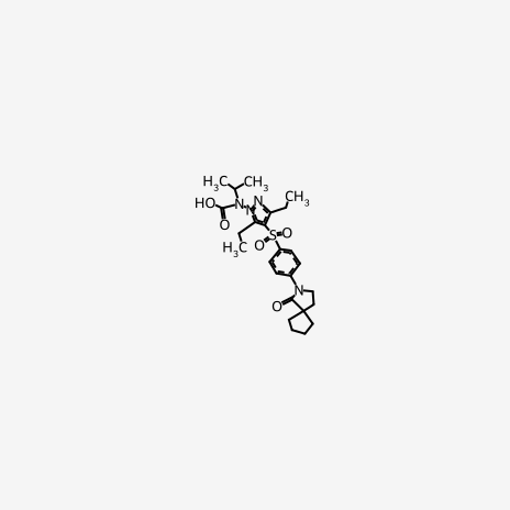 CCc1nn(N(C(=O)O)C(C)C)c(CC)c1S(=O)(=O)c1ccc(N2CCC3(CCCC3)C2=O)cc1